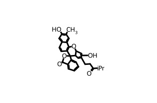 Cc1cc2c3c(ccc2cc1O)C1(OC(=O)c2ccccc21)C1C=C(CCC(=O)C(C)C)C(O)=CC1O3